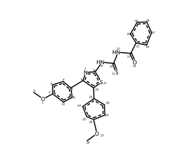 COc1ccc(-c2nc(NC(=S)NC(=O)c3ccccc3)sc2-c2ccc(OC)cc2)cc1